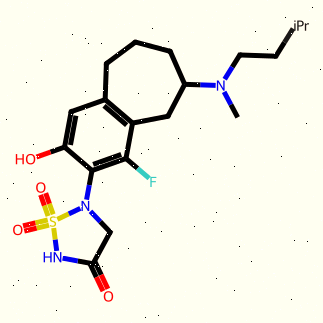 CC(C)CCN(C)C1CCCc2cc(O)c(N3CC(=O)NS3(=O)=O)c(F)c2C1